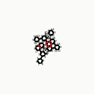 Fc1cc(-c2ccccc2)cc(-c2ccccc2)c1N(c1ccccc1)c1ccc2c3ccccc3c3ccc(N(c4ccccc4)c4c(F)cc(-c5ccccc5)cc4-c4ccccc4)c4ccc1c2c43